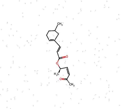 CC(=O)/C=C\[C@@H](C)OC(=O)/C=C/C1=CCCC(C)C1